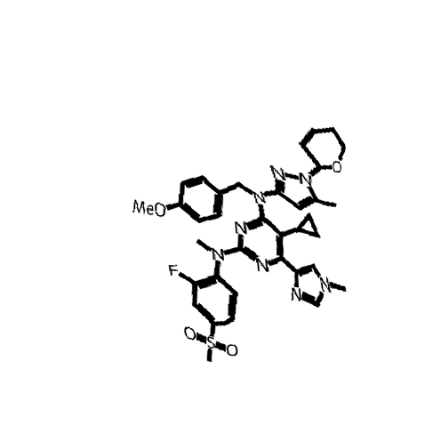 COc1ccc(CN(c2cc(C)n(C3CCCCO3)n2)c2nc(N(C)c3ccc(S(C)(=O)=O)cc3F)nc(-c3cn(C)cn3)c2C2CC2)cc1